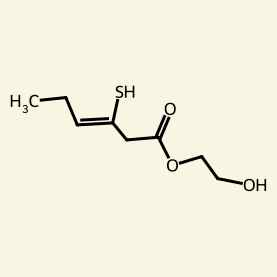 CCC=C(S)CC(=O)OCCO